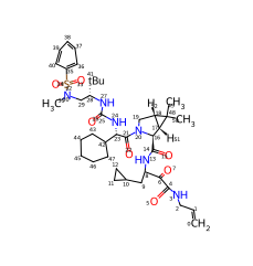 C=CCNC(=O)C(=O)C(CC1CC1)NC(=O)[C@@H]1[C@@H]2[C@H](CN1C(=O)[C@@H](NC(=O)N[C@H](CN(C)S(=O)(=O)c1ccccc1)C(C)(C)C)C1CCCCC1)C2(C)C